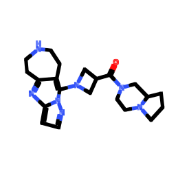 O=C(C1CN(c2c3c(nc4ccnn24)CCNCC3)C1)N1CCN2CCCC2C1